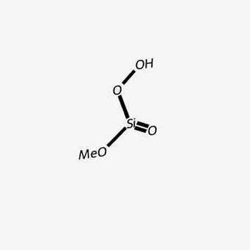 CO[Si](=O)OO